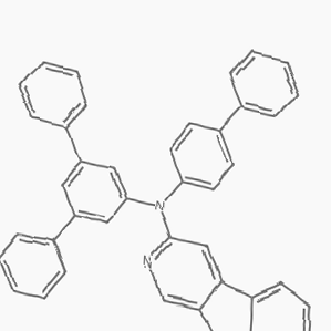 c1ccc(-c2ccc(N(c3cc(-c4ccccc4)cc(-c4ccccc4)c3)c3cc4c(cn3)oc3ccccc34)cc2)cc1